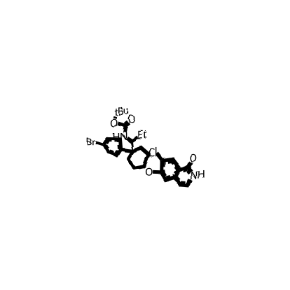 CCC(NC(=O)OC(C)(C)C)[C@]1(c2ccc(Br)cc2)CC[C@H](Oc2cc3cc[nH]c(=O)c3cc2Cl)CC1